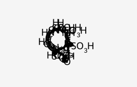 CC1(CCCCCC(=O)ON2C(=O)CCC2=O)C2=[N+](CCCCCC(=O)NCCCCCNC(=O)C(CS(=O)(=O)O)NC(=O)C(CS(=O)(=O)O)NC(=O)C(CS(=O)(=O)O)NC(=O)CCCCCN3/C(=C/C=C/C=C/2)C(C)(CCCCCC(=O)O)c2cc(S(=O)(=O)O)ccc23)c2ccc(S(=O)(=O)O)cc21